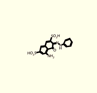 Nc1cc(S(=O)(=O)O)cc2c1C(=O)/C(=N\Nc1ccccc1)C(S(=O)(=O)O)=C2